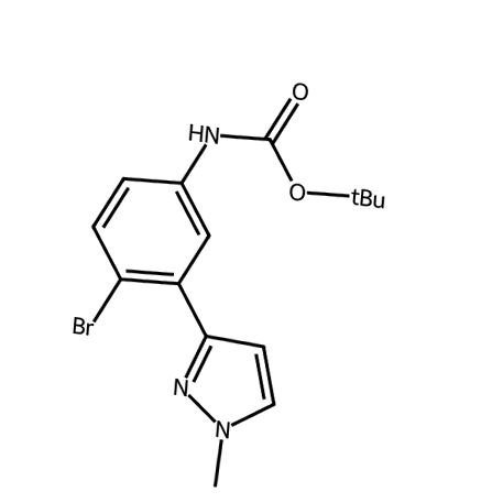 Cn1ccc(-c2cc(NC(=O)OC(C)(C)C)ccc2Br)n1